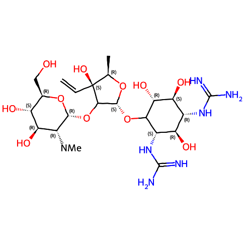 C=C[C@@]1(O)C(O[C@H]2O[C@H](CO)[C@@H](O)[C@H](O)[C@H]2NC)[C@@H](OC2[C@@H](NC(=N)N)[C@H](O)[C@@H](NC(=N)N)[C@H](O)[C@H]2O)O[C@@H]1C